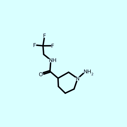 NN1CCCC(C(=O)NCC(F)(F)F)C1